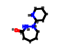 O=C1CCCCN(C2CCCC[N]2)N1